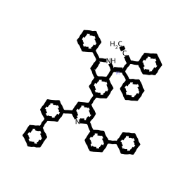 C=C=C(/C(=C1\NC(c2ccccc2)=Cc2cc(-c3cc(-c4cccc(-c5ccccc5)c4)nc(-c4cccc(-c5ccccc5)c4)c3)ccc21)c1ccccc1)c1ccccc1